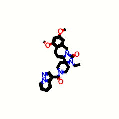 CCN1C(=O)N2Cc3cc(OC)cc(OC)c3CC=C2C12CCN(C(=O)c1cnn3ccccc13)CC2